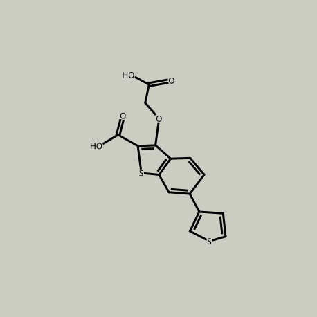 O=C(O)COc1c(C(=O)O)sc2cc(-c3ccsc3)ccc12